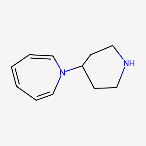 C1=CC=CN(C2CCNCC2)C=C1